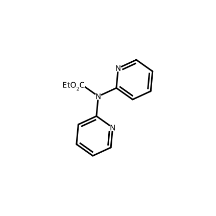 CCOC(=O)N(c1ccccn1)c1ccccn1